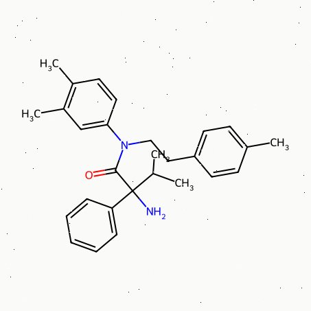 Cc1ccc(CCN(C(=O)C(N)(c2ccccc2)C(C)C)c2ccc(C)c(C)c2)cc1